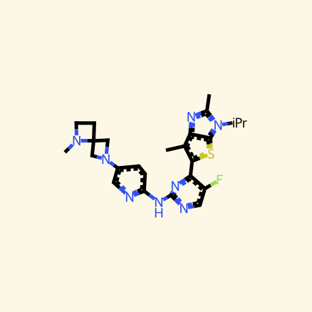 Cc1c(-c2nc(Nc3ccc(N4CC5(CCN5C)C4)cn3)ncc2F)sc2c1nc(C)n2C(C)C